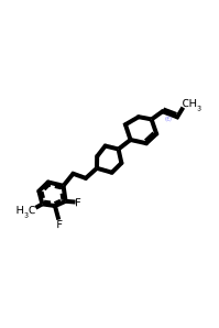 C/C=C/C1C=CC(C2CCC(CCc3ccc(C)c(F)c3F)CC2)CC1